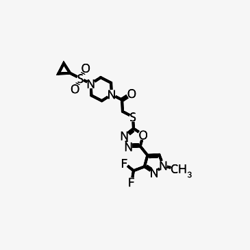 Cn1cc(-c2nnc(SCC(=O)N3CCN(S(=O)(=O)C4CC4)CC3)o2)c(C(F)F)n1